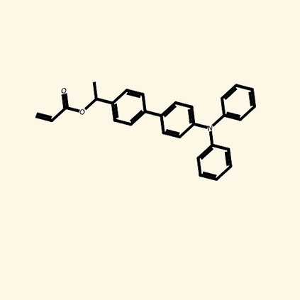 C=CC(=O)OC(C)c1ccc(-c2ccc(N(c3ccccc3)c3ccccc3)cc2)cc1